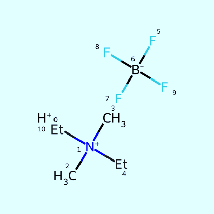 CC[N+](C)(C)CC.F[B-](F)(F)F.[H+]